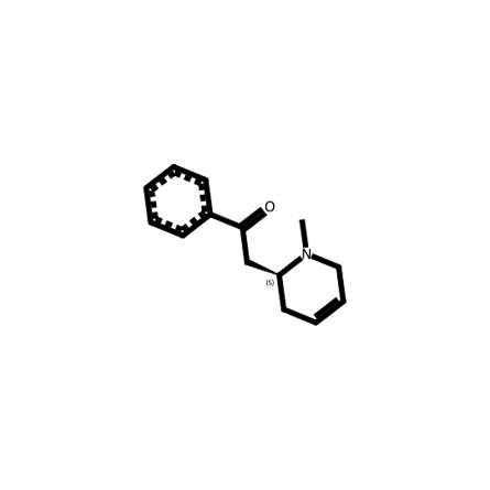 CN1CC=CC[C@H]1CC(=O)c1ccccc1